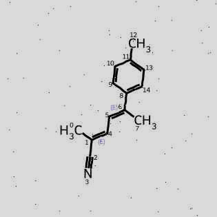 C/C(C#N)=C\C=C(/C)c1ccc(C)cc1